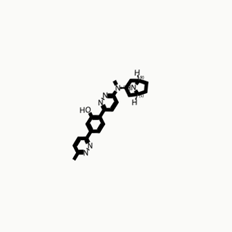 Cc1ccc(-c2ccc(-c3ccc(N(C)[C@H]4C[C@H]5CC[C@@H](C4)N5)nn3)c(O)c2)nn1